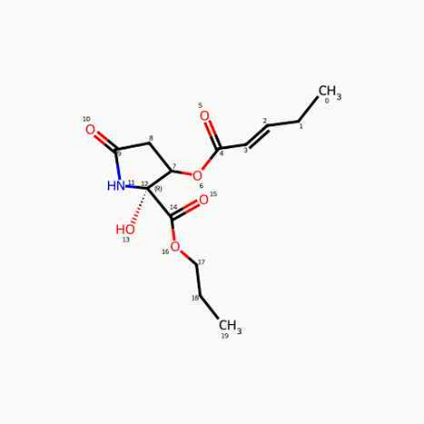 CCC=CC(=O)OC1CC(=O)N[C@]1(O)C(=O)OCCC